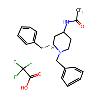 O=C(NC1CCN(Cc2ccccc2)[C@H](Cc2ccccc2)C1)C(F)(F)F.O=C(O)C(F)(F)F